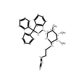 CC(=O)O[C@@H]1[C@H](OC(C)=O)[C@@H](OCCN=[N+]=[N-])O[C@H](COC(c2ccccc2)(c2ccccc2)c2ccccc2)[C@H]1OC(C)=O